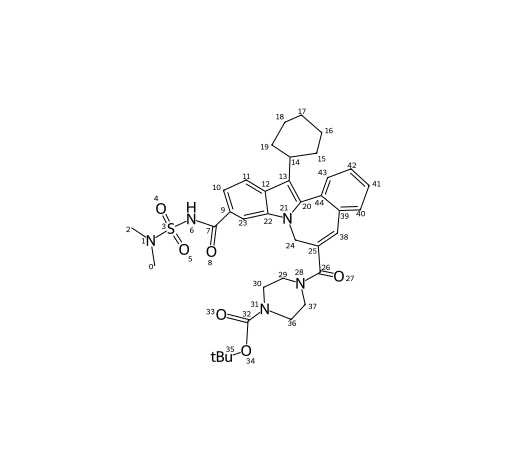 CN(C)S(=O)(=O)NC(=O)c1ccc2c(C3CCCCC3)c3n(c2c1)CC(C(=O)N1CCN(C(=O)OC(C)(C)C)CC1)=Cc1ccccc1-3